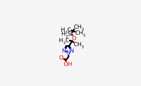 CC(C)(C)[SiH2]OC(C)(C)c1cnn(CC(=O)O)n1